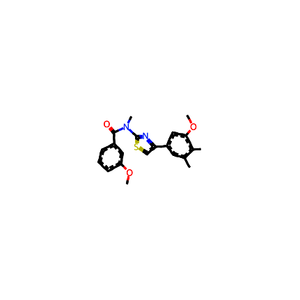 COc1cccc(C(=O)N(C)c2nc(-c3cc(C)c(C)c(OC)c3)cs2)c1